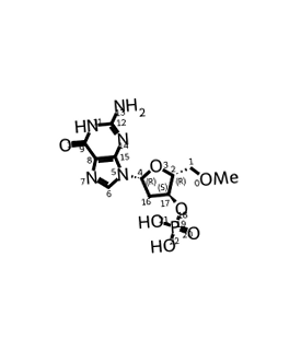 COC[C@H]1O[C@@H](n2cnc3c(=O)[nH]c(N)nc32)C[C@@H]1OP(=O)(O)O